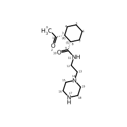 CC(=O)[C@@H]1CCCC[C@@H]1C(=O)NCCN1CCNCC1